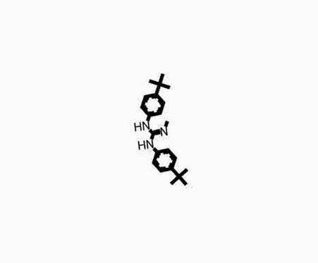 CN=C(Nc1ccc(C(C)(C)C)cc1)Nc1ccc(C(C)(C)C)cc1